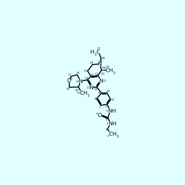 CCNC(=O)Nc1ccc(-c2nc3c(c(N4CCOCC4C)n2)CCN(CC)[C@H]3C)cc1